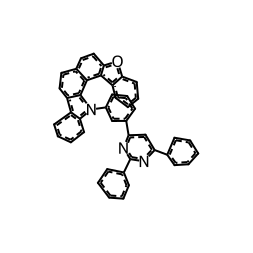 c1ccc(-c2cc(-c3cccc(-n4c5ccccc5c5ccc6ccc7oc8ccccc8c7c6c54)c3)nc(-c3ccccc3)n2)cc1